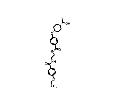 CCOc1ccc(C(=O)NCCNC(=O)c2ccc(O[C@H]3CC[C@@H](C(=O)O)CC3)cc2)cc1